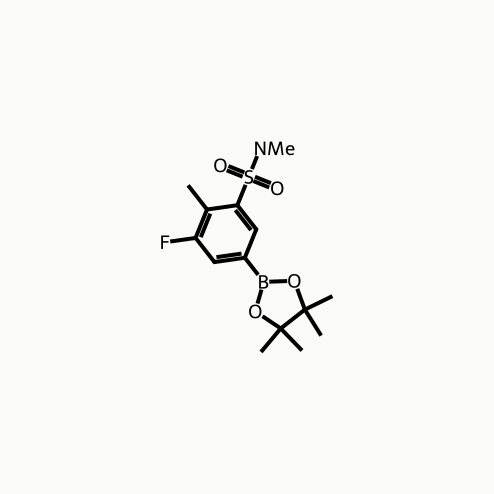 CNS(=O)(=O)c1cc(B2OC(C)(C)C(C)(C)O2)cc(F)c1C